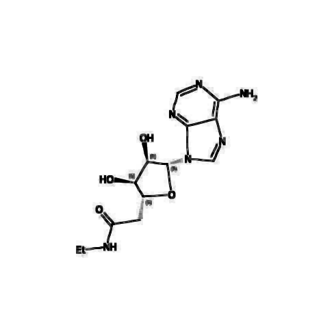 CCNC(=O)C[C@H]1O[C@@H](n2cnc3c(N)ncnc32)[C@H](O)[C@@H]1O